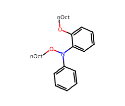 CCCCCCCCOc1ccccc1N(OCCCCCCCC)c1ccccc1